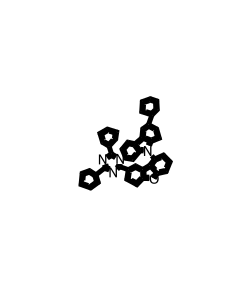 c1ccc(-c2ccc3c(c2)c2ccccc2n3-c2cccc3oc4ccc(-c5nc(-c6ccccc6)nc(-c6ccccc6)n5)cc4c23)cc1